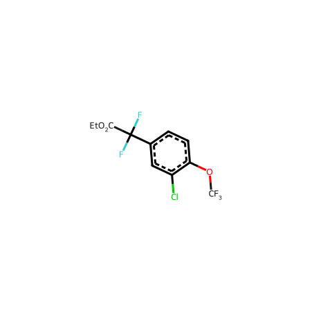 CCOC(=O)C(F)(F)c1ccc(OC(F)(F)F)c(Cl)c1